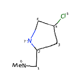 CNCC1CC(Cl)C[N]1